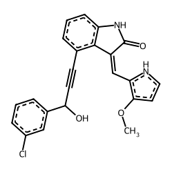 COc1cc[nH]c1C=C1C(=O)Nc2cccc(C#CC(O)c3cccc(Cl)c3)c21